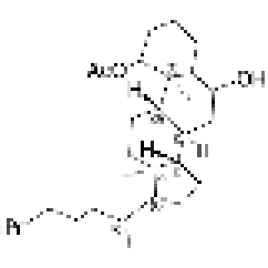 CC(=O)OC1CCCC2C(O)C[C@@H]3[C@H](CC[C@]4(C)[C@@H]([C@H](C)CCCC(C)C)CC[C@@H]34)[C@@]12C